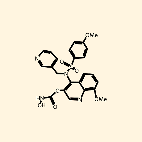 COc1ccc(S(=O)(=O)N(Cc2cccnc2)c2c(OC(=O)NO)cnc3c(OC)cccc23)cc1